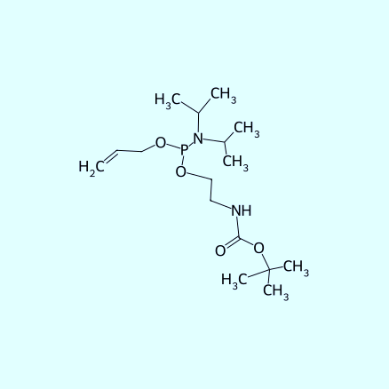 C=CCOP(OCCNC(=O)OC(C)(C)C)N(C(C)C)C(C)C